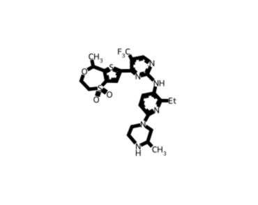 CCc1nc(N2CCNC(C)C2)ccc1Nc1ncc(C(F)(F)F)c(-c2cc3c(s2)C(C)OCCS3(=O)=O)n1